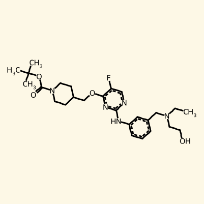 CCN(CCO)Cc1cccc(Nc2ncc(F)c(OCC3CCN(C(=O)OC(C)(C)C)CC3)n2)c1